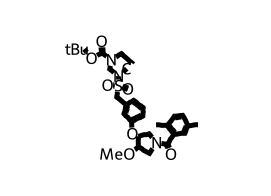 COC1CN(C(=O)c2cc(C)ccc2C)CC1Oc1cccc(CS(=O)(=O)N2CCCN(C(=O)OC(C)(C)C)C2)c1